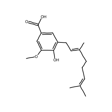 COc1cc(C(=O)O)cc(C/C=C(\C)CCC=C(C)C)c1O